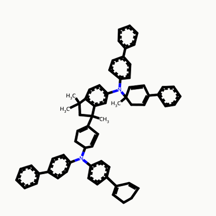 CC1(C)CC(C)(C2=CCC(N(c3ccc(C4=CCCC=C4)cc3)c3ccc(-c4ccccc4)cc3)C=C2)c2cc(N(c3ccc(-c4ccccc4)cc3)C3(C)C=CC(c4ccccc4)=CC3)ccc21